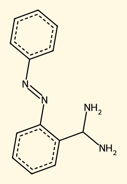 NC(N)c1ccccc1N=Nc1ccccc1